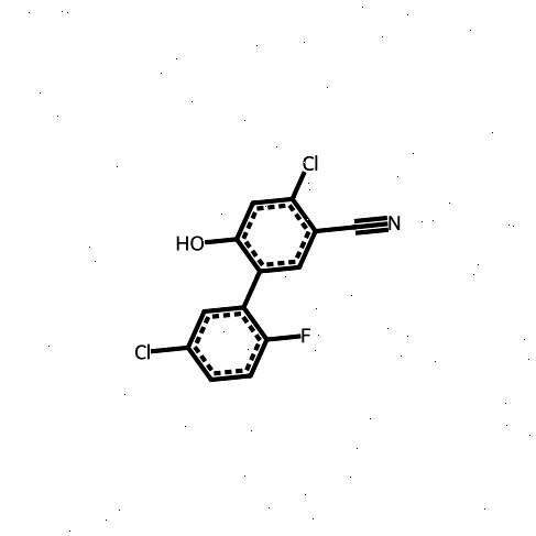 N#Cc1cc(-c2cc(Cl)ccc2F)c(O)cc1Cl